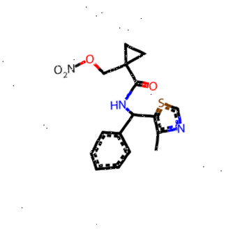 Cc1ncsc1C(NC(=O)C1(CO[N+](=O)[O-])CC1)c1ccccc1